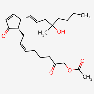 CCCCC(C)(O)CC=C[C@H]1C=CC(=O)[C@@H]1C/C=C\CCCC(=O)COC(C)=O